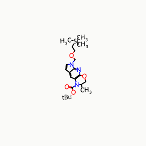 CC1COc2nc3c(ccn3COCC[Si](C)(C)C)cc2N1C(=O)OC(C)(C)C